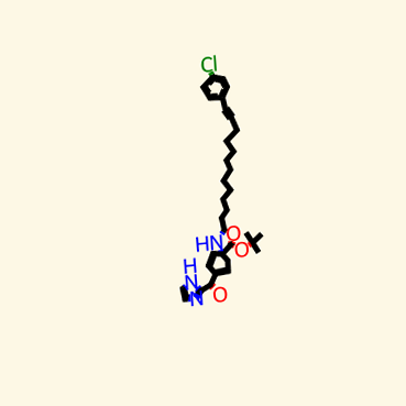 CC(C)(C)OC(=O)C1(NCCCCCCCCCCCC#Cc2ccc(Cl)cc2)C=CC(C(=O)c2ncc[nH]2)=CC1